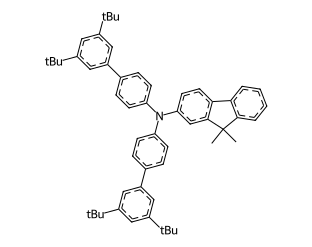 CC(C)(C)c1cc(-c2ccc(N(c3ccc(-c4cc(C(C)(C)C)cc(C(C)(C)C)c4)cc3)c3ccc4c(c3)C(C)(C)c3ccccc3-4)cc2)cc(C(C)(C)C)c1